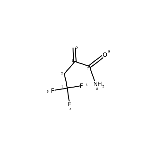 C=C(CC(F)(F)F)C(N)=O